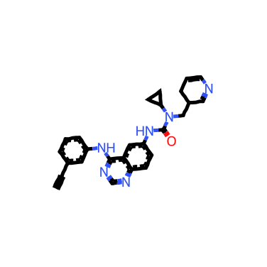 C#Cc1cccc(Nc2ncnc3ccc(NC(=O)N(CC4C=NC=CC4)C4CC4)cc23)c1